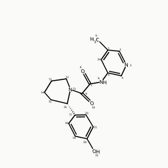 Cc1cncc(NC(=O)C(=O)N2CCCC[C@H]2c2ccc(O)cc2)c1